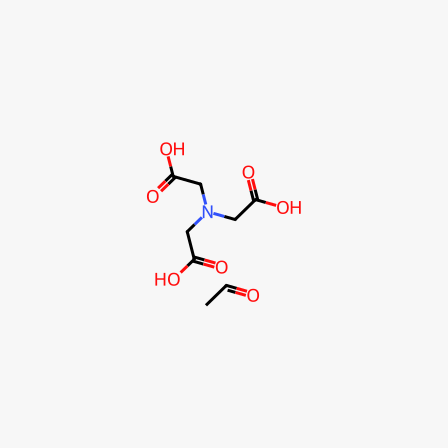 CC=O.O=C(O)CN(CC(=O)O)CC(=O)O